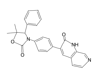 CC1(C)OC(=O)N(c2ccc(-c3cc4ccncc4[nH]c3=O)cc2)C1c1ccccc1